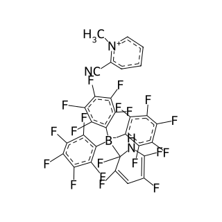 C[n+]1ccccc1C#N.FC1=CC(F)=C(F)NC1(F)[B-](c1c(F)c(F)c(F)c(F)c1F)(c1c(F)c(F)c(F)c(F)c1F)c1c(F)c(F)c(F)c(F)c1F